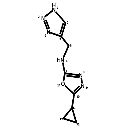 c1[nH]nnc1CNc1nnc(C2CC2)o1